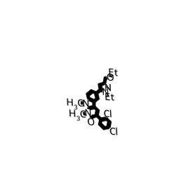 CCOCc1cc(-c2ccc3c(c2)c2cc(-c4ccc(Cl)cc4Cl)c(=O)n(C)c2n3C)n(CC)n1